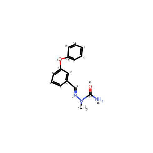 CN(N=Cc1cccc(Oc2ccccc2)c1)C(N)=O